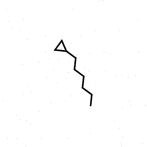 CCCCCC[C]1CC1